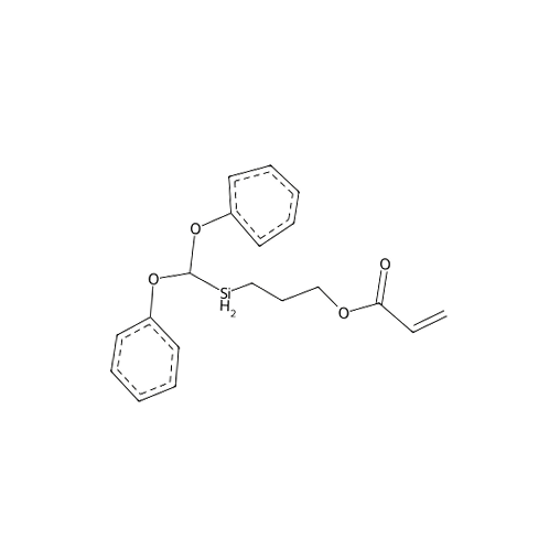 C=CC(=O)OCCC[SiH2]C(Oc1ccccc1)Oc1ccccc1